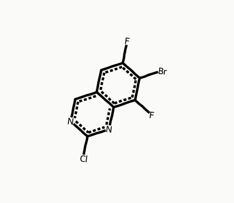 Fc1cc2cnc(Cl)nc2c(F)c1Br